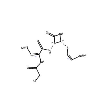 CO/N=C(/NC(=O)CCl)C(=O)N[C@@H]1C(=O)N[C@@H]1S/C=C\NC(C)=O